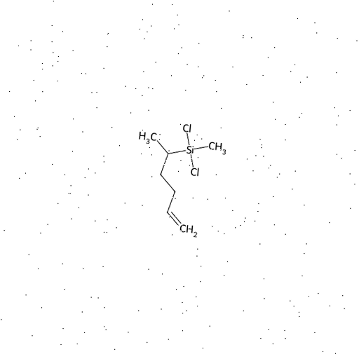 C=CCCC(C)[Si](C)(Cl)Cl